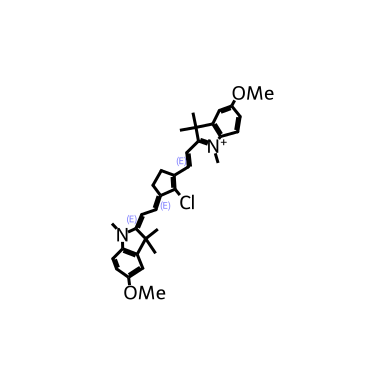 COc1ccc2c(c1)C(C)(C)C(/C=C/C1=C(Cl)C(=C/C=C3/N(C)c4ccc(OC)cc4C3(C)C)/CC1)=[N+]2C